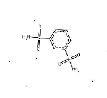 NS(=O)(=O)c1cncc(S(N)(=O)=O)c1